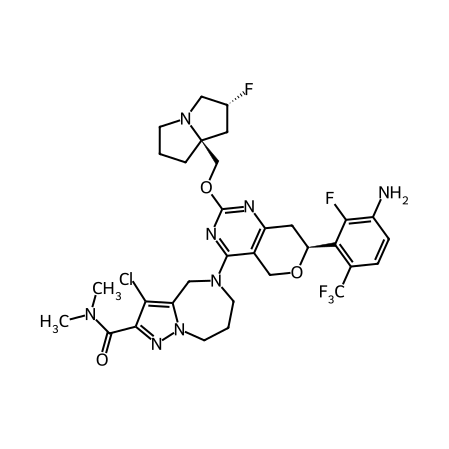 CN(C)C(=O)c1nn2c(c1Cl)CN(c1nc(OC[C@@]34CCCN3C[C@H](F)C4)nc3c1CO[C@H](c1c(C(F)(F)F)ccc(N)c1F)C3)CCC2